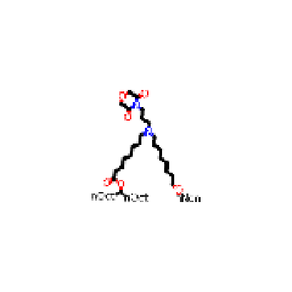 CCCCCCCCCOCCCCCCCCN(CCCCCCCC(=O)OC(CCCCCCCC)CCCCCCCC)CCCN1C(=O)COCC1=O